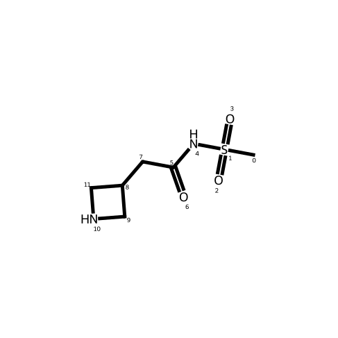 CS(=O)(=O)NC(=O)CC1CNC1